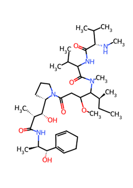 CC[C@H](C)C(C(CC(=O)N1CCC[C@H]1[C@H](O)[C@@H](C)C(=O)N[C@H](C)[C@@H](O)C1=CCCC=C1)OC)N(C)C(=O)C(NC(=O)[C@@H](NC)C(C)C)C(C)C